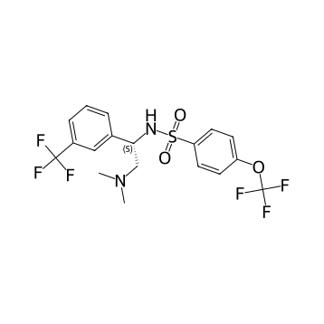 CN(C)C[C@@H](NS(=O)(=O)c1ccc(OC(F)(F)F)cc1)c1cccc(C(F)(F)F)c1